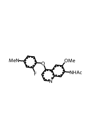 CNc1ccc(Oc2ccnc3cc(NC(C)=O)c(OC)cc23)c(F)c1